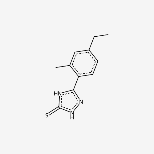 CCc1ccc(-c2n[nH]c(=S)[nH]2)c(C)c1